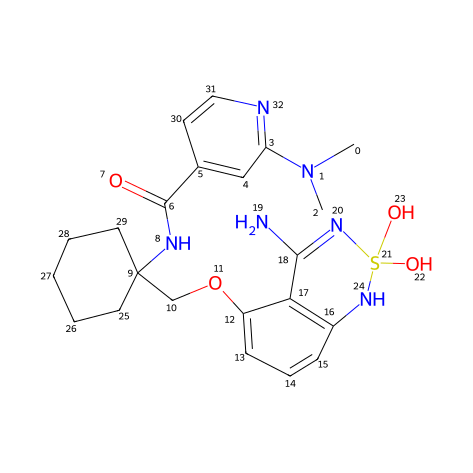 CN(C)c1cc(C(=O)NC2(COc3cccc4c3C(N)=NS(O)(O)N4)CCCCC2)ccn1